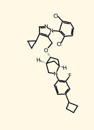 Fc1cc(C2CCC2)ccc1N1C[C@@H]2C[C@H]1C[C@H]2OCc1c(C2CC2)cnn1-c1c(Cl)cccc1Cl